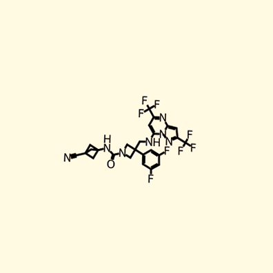 N#CC12CC(NC(=O)N3CC(CNc4cc(C(F)(F)F)nc5cc(C(F)(F)F)nn45)(c4cc(F)cc(F)c4)C3)(C1)C2